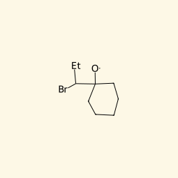 CCC(Br)C1([O])CCCCC1